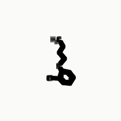 CCCCSc1[c]cccc1Cl